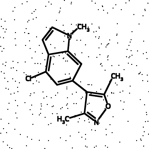 Cc1noc(C)c1-c1cc(Cl)c2ccn(C)c2c1